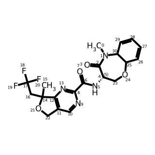 CN1C(=O)[C@@H](NC(=O)c2ncc3c(n2)C(C)(CC(F)(F)F)OC3)COC2C=CC=CC21